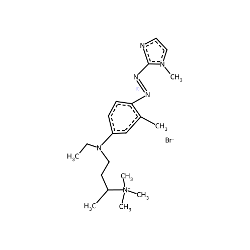 CCN(CCC(C)[N+](C)(C)C)c1ccc(/N=N/c2nccn2C)c(C)c1.[Br-]